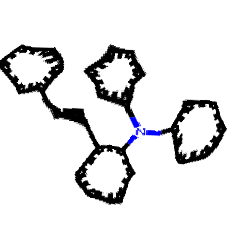 C(=Cc1ccccc1N(c1ccccc1)c1ccccc1)c1ccccc1